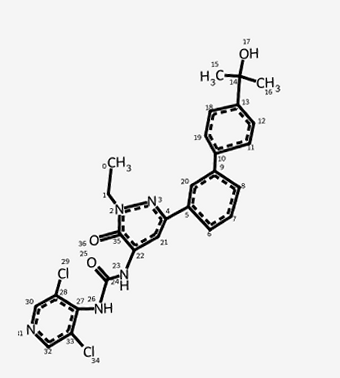 CCn1nc(-c2cccc(-c3ccc(C(C)(C)O)cc3)c2)cc(NC(=O)Nc2c(Cl)cncc2Cl)c1=O